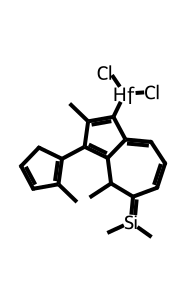 CC1=C(C2=C3C(=CC=CC(=[Si](C)C)C3C)[C]([Hf]([Cl])[Cl])=C2C)CC=C1